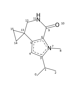 CC(C)c1cc2c(n1C)C(=O)NCC21CC1